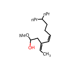 C/C=C(\C=C/CCC(CCC)CCC)CC(O)OC